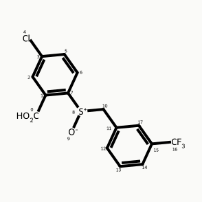 O=C(O)c1cc(Cl)ccc1[S+]([O-])Cc1cccc(C(F)(F)F)c1